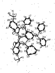 CC(C)(C)c1ccc2oc3c(c2c1)N(c1ccccc1)c1cc(N(c2ccccc2)c2ccccc2)cc2c1B3c1oc3ccc(C(C)(C)C)cc3c1N2c1ccccc1